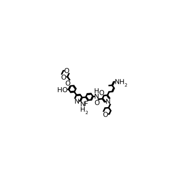 CC(/C=C\Cc1cn(CC2CCOCC2)cc(C(=O)Nc2ccc(-c3cc(-c4ccc(OCC5COCCO5)c(O)c4)cnc3N)c(F)c2)c1=O)=C/N